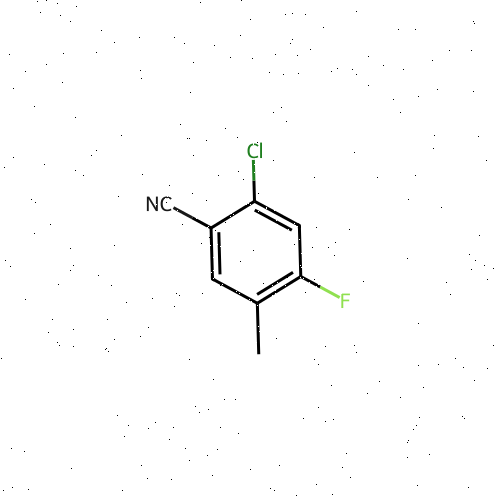 Cc1cc(C#N)c(Cl)cc1F